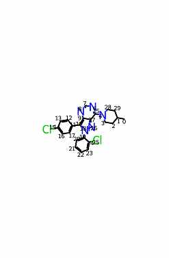 CC1CCN(c2ncnc3c(-c4ccc(Cl)cc4)n(-c4ccccc4Cl)nc23)CC1